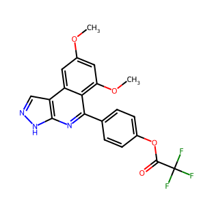 COc1cc(OC)c2c(-c3ccc(OC(=O)C(F)(F)F)cc3)nc3[nH]ncc3c2c1